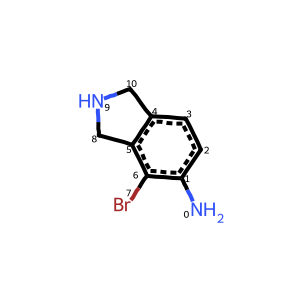 Nc1ccc2c(c1Br)CNC2